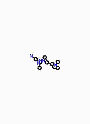 N#Cc1ccc(-c2nc(-c3ccccc3)cc(-n3c4ccccc4c4cc(-c5ccc6c(c5)C=Cc5ccccc5N6c5ccccc5)ccc43)n2)cc1